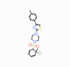 Cc1ccc(-c2csc(N3CCN(S(=O)(=O)C4C=CC=CC4(C)Cl)CC3)n2)cc1